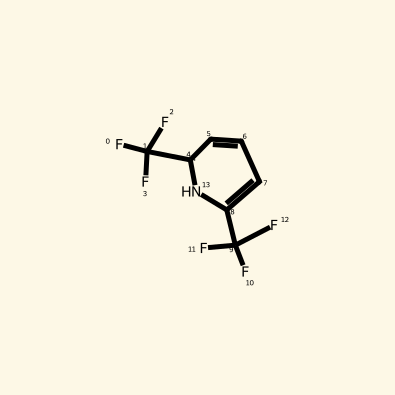 FC(F)(F)[C]1C=CC=C(C(F)(F)F)N1